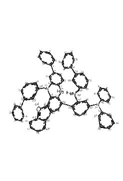 B1c2ccc(-c3ccccc3)cc2N(c2cccc(-c3ccccc3)c2)c2c1c(-c1ccc(N(c3ccccc3)c3ccccc3)cc1Nc1cccc(-c3ccccc3)c1)cc1c2oc2ccccc21